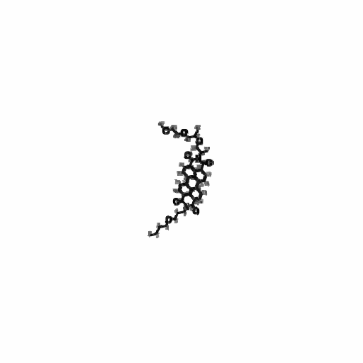 CCCCOCCCN1C(=O)c2ccc3c4ccc5c6c(ccc(c7ccc(c2c37)C1=O)c64)C(=O)N(C(C)COC(C)COCCOC)C5=O